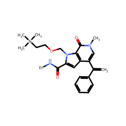 C=C(c1ccccc1)c1cn(C)c(=O)c2c1cc(C(=O)NCC)n2COCC[Si](C)(C)C